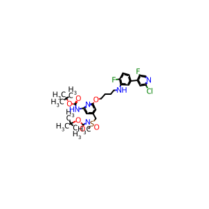 CC(C)(C)OC(=O)N=S(C)(=O)Cc1cc(NC(=O)OC(C)(C)C)nc(OCCCCNc2cc(-c3cc(Cl)ncc3F)ccc2F)c1